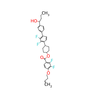 C=CCCOc1ccc(C(=O)OC2CCC(c3ccc(-c4ccc(C(O)CCC)cc4)c(F)c3F)CC2)c(F)c1F